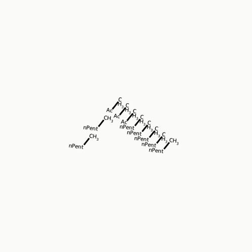 CC(C)=O.CC(C)=O.CC(C)=O.CCCCCC.CCCCCC.CCCCCC.CCCCCC.CCCCCC.CCCCCC.CCCCCC